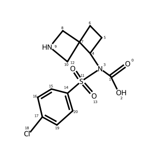 O=C(O)N(C1CCC12CNC2)S(=O)(=O)c1ccc(Cl)cc1